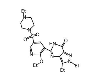 CCOc1ncc(S(=O)(=O)N2CCN(CC)CC2)cc1-c1nc2c(CC)n(CC)nc2c(=O)[nH]1